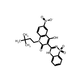 CC(C)(C)CCn1c(=O)c(C2=NS(=O)(=O)c3ccccc3N2)c(O)c2cc([N+](=O)[O-])ccc21